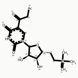 C=P(C)(C)CC[C@H]1OC(n2cc(C(=O)CC(C)=O)c(=O)[nH]c2=O)[C@H](O)[C@@H]1O